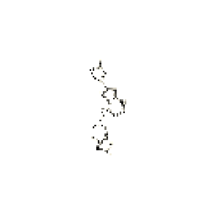 Cc1cc2cc(Nc3ccnc4cc(-c5ccc(C)s5)sc34)ccc2[nH]1